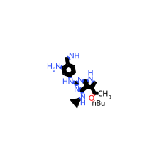 CCCCOC(C)c1c[nH]c2nc(Nc3ccc(C=N)c(N)c3)nc(NC3CC3)c12